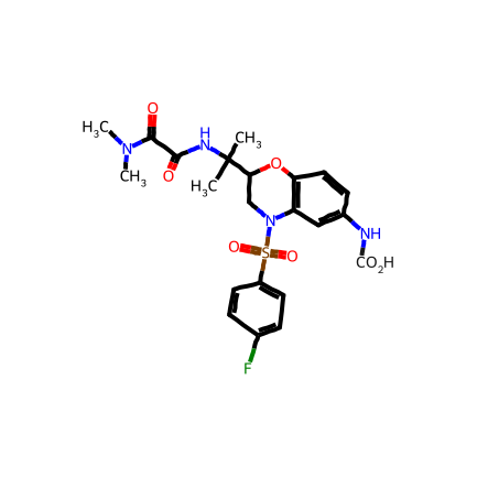 CN(C)C(=O)C(=O)NC(C)(C)C1CN(S(=O)(=O)c2ccc(F)cc2)c2cc(NC(=O)O)ccc2O1